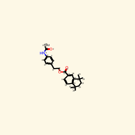 CC(C)(C)C(=O)Nc1ccc(CCOC(=O)c2ccc3c(c2)C(C)(C)CCC3(C)C)cc1